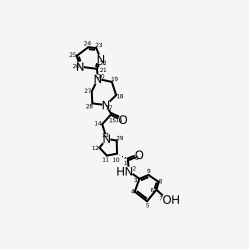 O=C(Nc1ccc(O)cc1)[C@@H]1CCN(CC(=O)N2CCN(c3ncccn3)CC2)C1